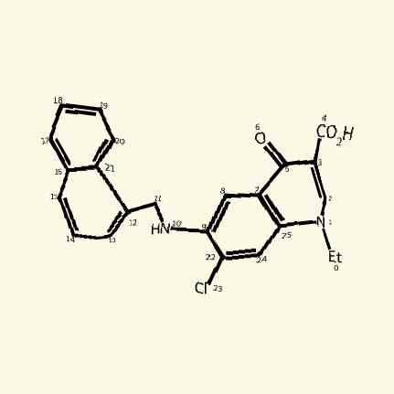 CCn1cc(C(=O)O)c(=O)c2cc(NCc3cccc4ccccc34)c(Cl)cc21